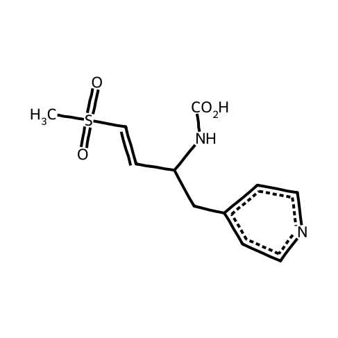 CS(=O)(=O)C=CC(Cc1ccncc1)NC(=O)O